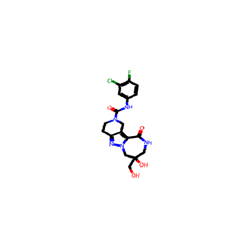 O=C1NCC(O)(CO)Cn2nc3c(c21)CN(C(=O)Nc1ccc(F)c(Cl)c1)CC3